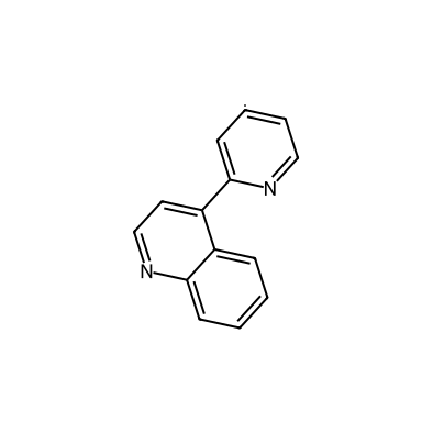 [c]1ccnc(-c2ccnc3ccccc23)c1